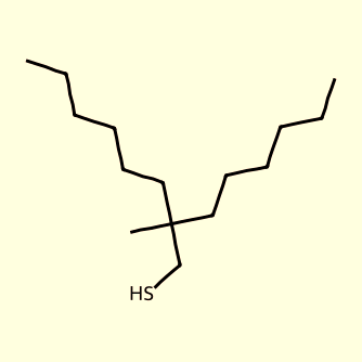 CCCCCCC(C)(CS)CCCCCC